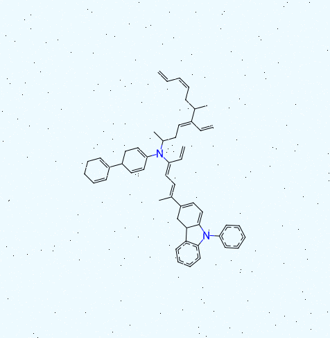 C=C/C=C\CC(C)/C(C=C)=C/CC(C)N(C1=CCC(C2=CCCC=C2)C=C1)/C(C=C)=C/C=C(\C)C1=CC=C2C(C1)c1ccccc1N2c1ccccc1